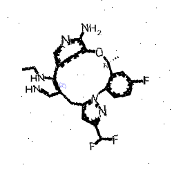 CCN/C1=C(\C=N)Cc2cc(C(F)F)nn2-c2ccc(F)cc2[C@@H](C)Oc2cc1cnc2N